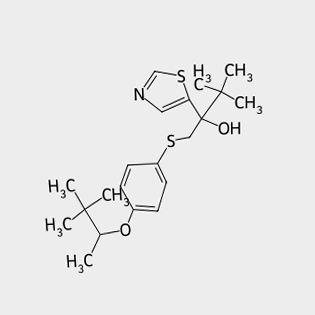 CC(Oc1ccc(SCC(O)(c2cncs2)C(C)(C)C)cc1)C(C)(C)C